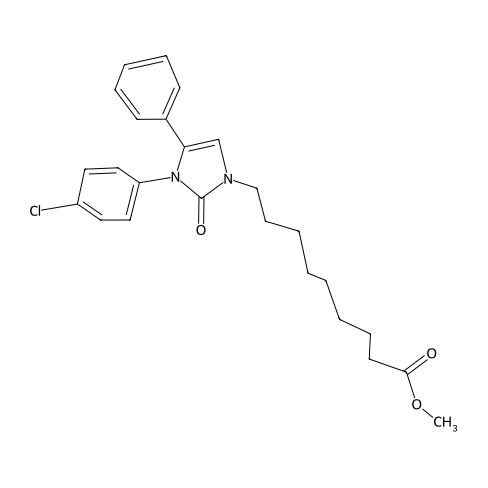 COC(=O)CCCCCCCCn1cc(-c2ccccc2)n(-c2ccc(Cl)cc2)c1=O